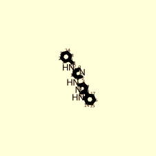 c1ncc(Nc2ccc3c4c([nH]c3n2)CCCC4)cc1NCC1CCCCC1